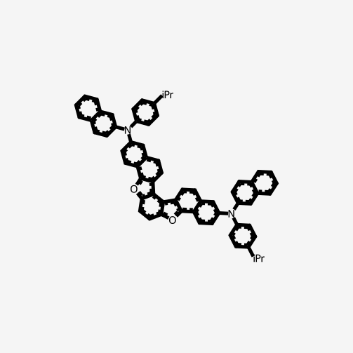 CC(C)c1ccc(N(c2ccc3ccccc3c2)c2ccc3c(ccc4c3oc3ccc5oc6c7ccc(N(c8ccc(C(C)C)cc8)c8ccc9ccccc9c8)cc7ccc6c5c34)c2)cc1